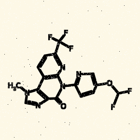 Cn1cnc2c(=O)n(-c3ccc(OC(F)F)cn3)c3nc(C(F)(F)F)ccc3c21